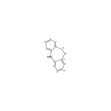 [c]1ccc2c(c1)Nc1ccccc1CC2